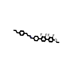 CCCc1ccc(CC/C=C/C2CCC(c3ccc(-c4ccc(OCC)c(F)c4F)c(F)c3F)CC2)cc1